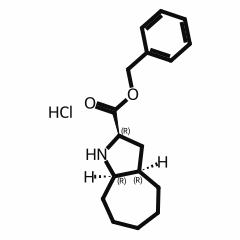 Cl.O=C(OCc1ccccc1)[C@H]1C[C@H]2CCCCC[C@H]2N1